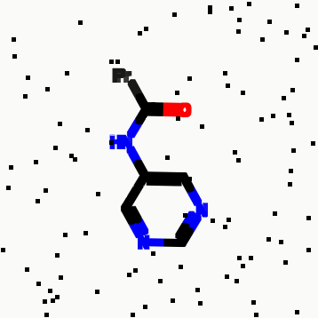 CC(C)C(=O)Nc1cncnc1